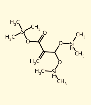 C=C(C(=O)O[Si](C)(C)C)C(O[SiH](C)C)O[SiH](C)C